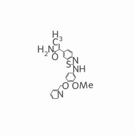 CC=C(C(N)=O)c1ccc2nc(Nc3ccc(OCc4ccccn4)c(OC)c3)sc2c1